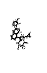 Cc1cnn(-c2cc3cccc(-c4nc(C5CC5)n5c4CN(C)C(=O)C5C)c3cn2)c1